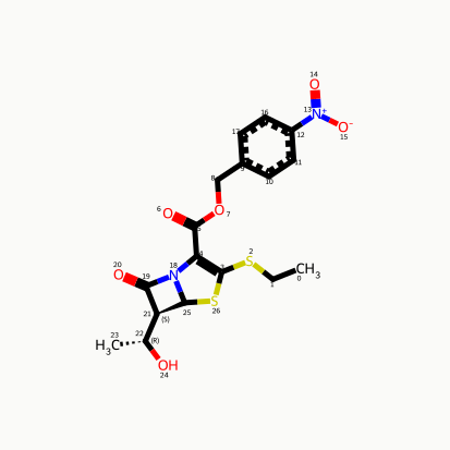 CCSC1=C(C(=O)OCc2ccc([N+](=O)[O-])cc2)N2C(=O)[C@H]([C@@H](C)O)C2S1